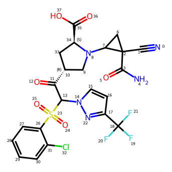 N#CC1(C(N)=O)CC1N1C[C@H](C(=O)C(n2ccc(C(F)(F)F)n2)S(=O)(=O)c2ccccc2Cl)C[C@H]1C(=O)O